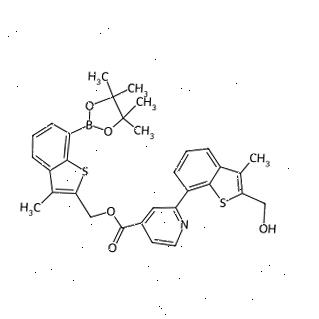 Cc1c(COC(=O)c2ccnc(-c3cccc4c(C)c(CO)sc34)c2)sc2c(B3OC(C)(C)C(C)(C)O3)cccc12